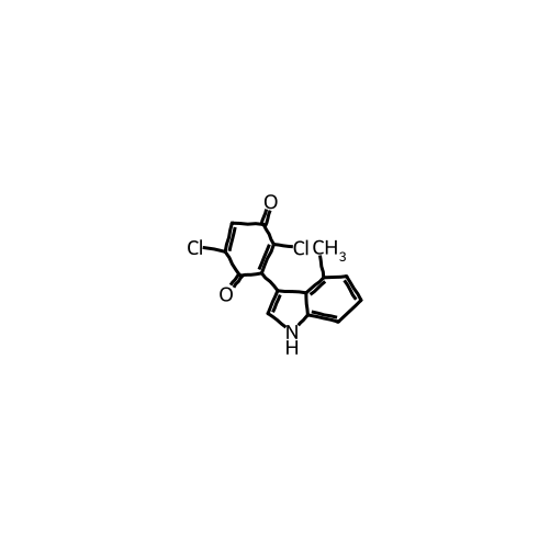 Cc1cccc2[nH]cc(C3=C(Cl)C(=O)C=C(Cl)C3=O)c12